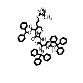 Cn1nnnc1S/C=C/C1=C(C(=O)OC(c2ccccc2)c2ccccc2)N2C(=O)C(NC(=O)/C(=N/OC(c3ccccc3)(c3ccccc3)c3ccccc3)c3csc(NC(c4ccccc4)(c4ccccc4)c4ccccc4)n3)C2SC1